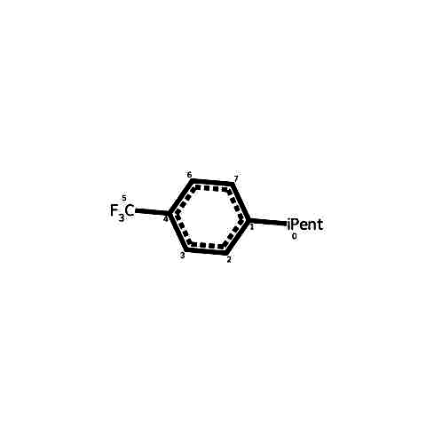 [CH2]CCC(C)c1ccc(C(F)(F)F)cc1